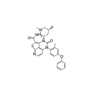 Cc1cc(Oc2ccccc2)ccc1N1C(=O)N([C@@H]2C[C@H](F)CN(C)C2)c2c(C(N)=O)sc3nccc1c23